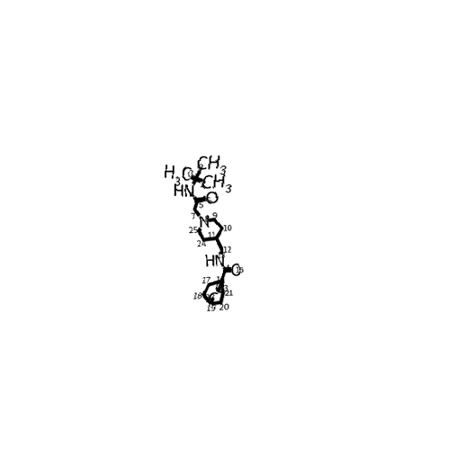 CC(C)(C)NC(=O)CN1CCC(CNC(=O)C23CCC(CC2)CC3)CC1